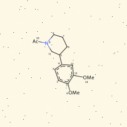 COc1ccc(C2CCCN(C(C)=O)C2)cc1OC